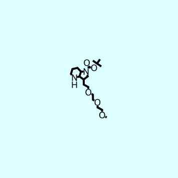 COCCOCCOCCC1CN(C(=O)OC(C)(C)C)C2CCCNC12